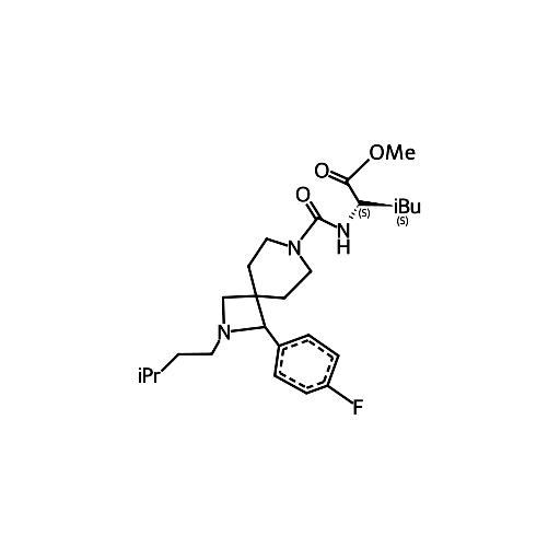 CC[C@H](C)[C@H](NC(=O)N1CCC2(CC1)CN(CCC(C)C)C2c1ccc(F)cc1)C(=O)OC